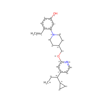 C=Cc1ccc(O)cc1N1CCC(COc2cc(C(CC)C3CC3)ccn2)CC1